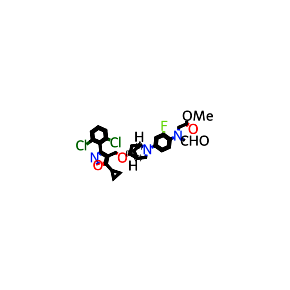 COC(=O)CN(C=O)c1ccc(N2C[C@@H]3C[C@H]2C[C@H]3OCc2c(-c3c(Cl)cccc3Cl)noc2C2CC2)cc1F